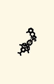 Cc1cccc(Cc2csc(N3CCN(S(=O)(=O)c4c(C(C)C)cc(C(C)C)cc4C(C)C)CC3)n2)c1C